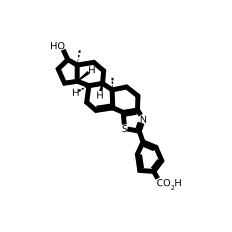 C[C@]12CCc3nc(-c4ccc(C(=O)O)cc4)sc3C1=CC[C@@H]1[C@@H]2CC[C@]2(C)C(O)CC[C@@H]12